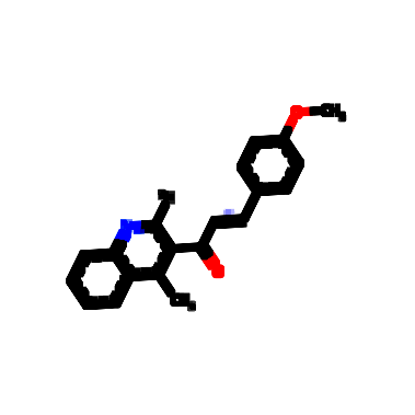 [2H]c1nc2ccccc2c(C)c1C(=O)/C=C/c1ccc(OC)cc1